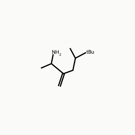 C=C(CC(C)C(C)(C)C)C(C)N